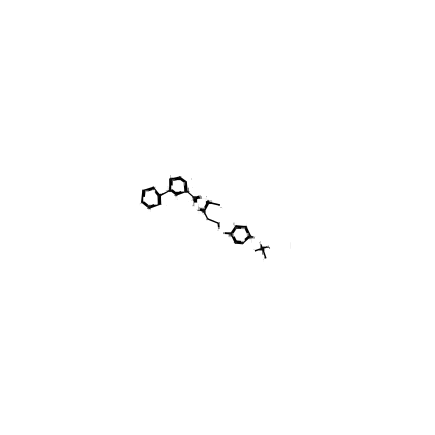 CCOC(=O)C(C)(C)Oc1ccc(OCCc2nc(-c3cccc(-c4ccccc4)c3)oc2C)cc1